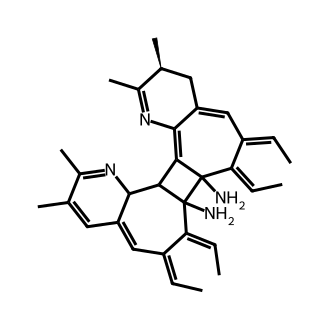 C/C=C1/C=C2C[C@H](C)C(C)=NC2=C2C3C4N=C(C)C(C)=CC4=CC(=C/C)/C(=C\C)C3(N)C2(N)/C1=C/C